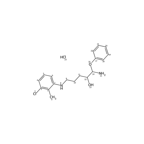 Cc1c(Cl)cccc1NCCCC(O)C(N)Oc1ccccc1.Cl